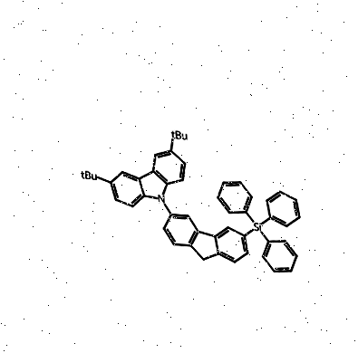 CC(C)(C)c1ccc2c(c1)c1cc(C(C)(C)C)ccc1n2-c1ccc2c(c1)-c1cc([Si](c3ccccc3)(c3ccccc3)c3ccccc3)ccc1C2